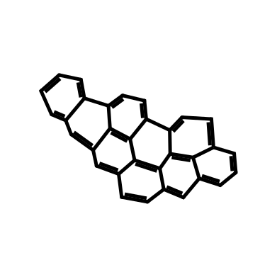 c1ccc2c(c1)cc1cc3ccc4cc5cccc6ccc7c8ccc2c1c8c3c4c7c65